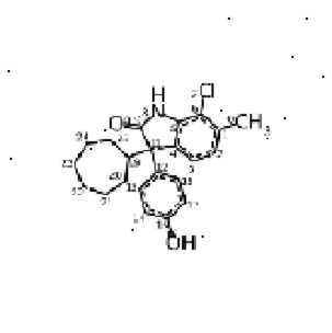 Cc1ccc2c(c1Cl)NC(=O)C2(c1ccc(O)cc1)C1CCCCCC1